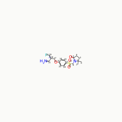 CC1(C)CCC(=O)N1CS(=O)(=O)c1ccc(OC/C(=C/F)CN)cc1